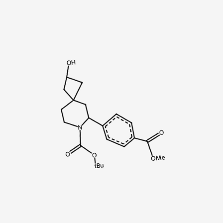 COC(=O)c1ccc(C2CC3(CCN2C(=O)OC(C)(C)C)CC(O)C3)cc1